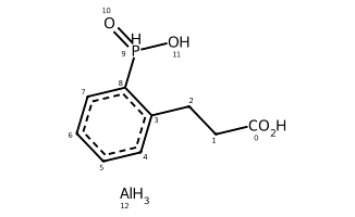 O=C(O)CCc1ccccc1[PH](=O)O.[AlH3]